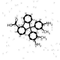 Cc1cc(C2(c3ccc(N)c(C)c3)c3ccccc3-c3c(C(=O)O)cccc32)ccc1N